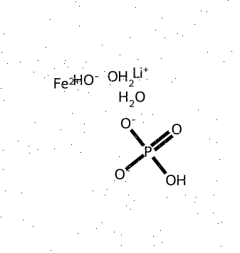 O.O.O=P([O-])([O-])O.[Fe+2].[Li+].[OH-]